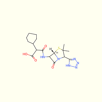 CC1(C)S[C@H]2C(NC(=O)C(C(=O)O)C3CCCCC3)C(=O)N2C1c1nnn[nH]1